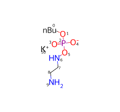 CCCCOP(=O)([O-])ONCCN.[K+]